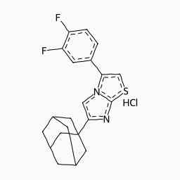 Cl.Fc1ccc(-c2csc3nc(C45CC6CC(CC(C6)C4)C5)cn23)cc1F